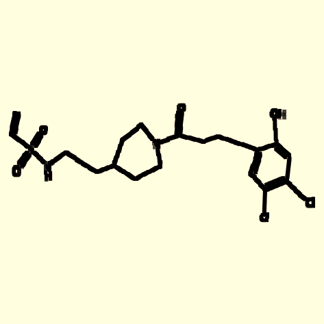 C=CS(=O)(=O)NCCC1CCN(C(=O)CCc2cc(Cl)c(Cl)cc2O)CC1